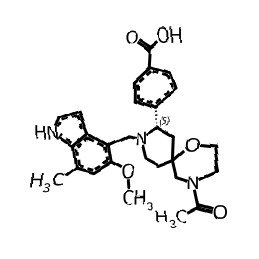 COc1cc(C)c2[nH]ccc2c1CN1CCC2(C[C@H]1c1ccc(C(=O)O)cc1)CN(C(C)=O)CCO2